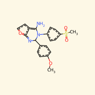 COc1ccc(C2N=c3occc3=C(N)N2c2ccc(S(C)(=O)=O)cc2)cc1